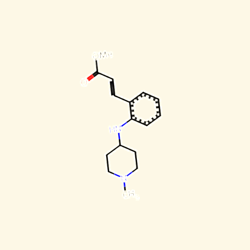 COC(=O)/C=C/c1ccccc1NC1CCN(C)CC1